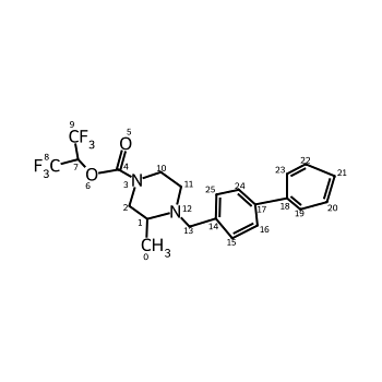 CC1CN(C(=O)OC(C(F)(F)F)C(F)(F)F)CCN1Cc1ccc(-c2ccccc2)cc1